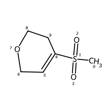 CS(=O)(=O)C1=CCOCC1